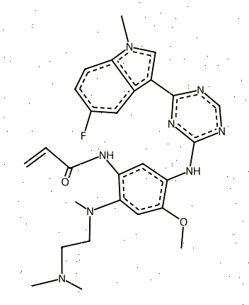 C=CC(=O)Nc1cc(Nc2ncnc(-c3cn(C)c4ccc(F)cc34)n2)c(OC)cc1N(C)CCN(C)C